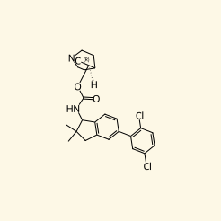 CC1(C)Cc2cc(-c3cc(Cl)ccc3Cl)ccc2C1NC(=O)O[C@H]1CN2CCC1CC2